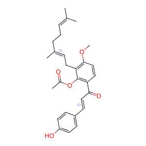 COc1ccc(C(=O)/C=C/c2ccc(O)cc2)c(OC(C)=O)c1C/C=C(\C)CCC=C(C)C